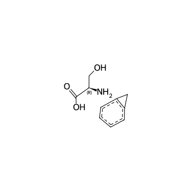 N[C@H](CO)C(=O)O.c1ccc2c(c1)C2